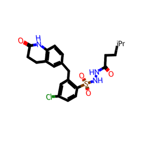 CC(C)CCC(=O)NNS(=O)(=O)c1ccc(Cl)cc1Cc1ccc2c(c1)CCC(=O)N2